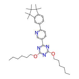 CCCCCCOc1nc(OCCCCCC)nc(-c2ccc(-c3ccc4c(c3)C(C)(C)C(C)(C)C4(C)C)nc2)n1